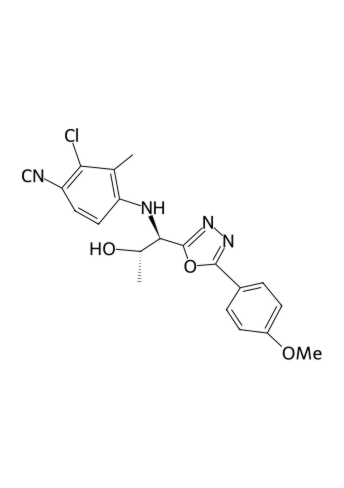 [C-]#[N+]c1ccc(N[C@@H](c2nnc(-c3ccc(OC)cc3)o2)[C@H](C)O)c(C)c1Cl